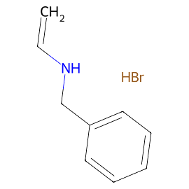 Br.C=CNCc1ccccc1